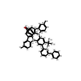 Cc1ccc2c(c1)c1cc(C)ccc1n2-c1cc(-c2cccc(-c3ccccc3)n2)c(C(F)(F)F)cc1-n1c2ccc(C)cc2c2cc(C)ccc21